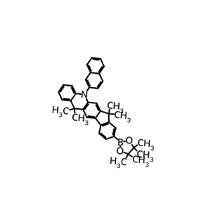 CC1(C)c2cc(B3OC(C)(C)C(C)(C)O3)ccc2-c2cc3c(cc21)N(c1ccc2ccccc2c1)c1ccccc1C3(C)C